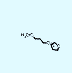 C1CCOC1.CCCCOC